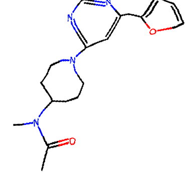 CC(=O)N(C)C1CCN(c2cc(-c3ccco3)ncn2)CC1